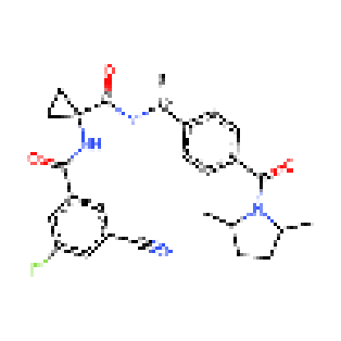 CC1CCC(C)N1C(=O)c1ccc([C@@H](C)NC(=O)C2(NC(=O)c3cc(F)cc(C#N)c3)CC2)cc1